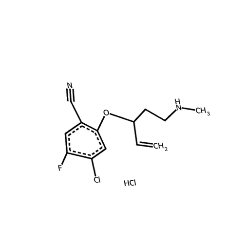 C=CC(CCNC)Oc1cc(Cl)c(F)cc1C#N.Cl